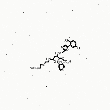 COCCOCCNC(=O)CC(NCc1ncc(-c2cc(Cl)ccc2Cl)o1)C(=O)Nc1ccncc1C(=O)O